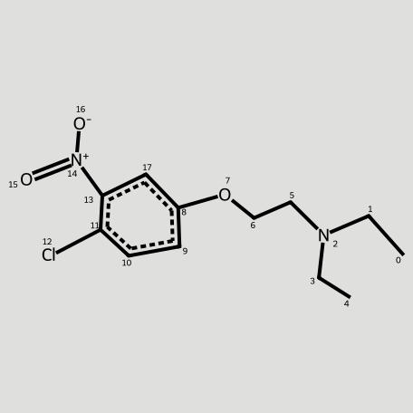 CCN(CC)CCOc1ccc(Cl)c([N+](=O)[O-])c1